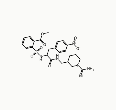 COC(=O)c1ccccc1S(=O)(=O)NC(Cc1ccc([N+](=O)[O-])cc1)C(=O)NCC1CCCN(C(=N)N)C1